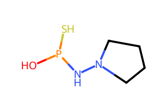 OP(S)NN1CCCC1